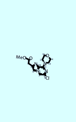 COC(=O)Cc1cn2cc(Cl)nc(N3CCOCC3)c2n1